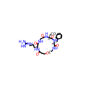 N=C(N)NCCC[C@@H]1NC(=O)CCOCCNC(=O)[C@@H](Cc2ccccc2)NC(=O)[C@H](CC(=O)O)NC(=O)CNC1=O